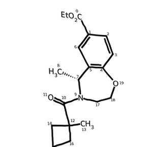 CCOC(=O)c1ccc2c(c1)[C@@H](C)N(C(=O)C1(C)CCC1)CCO2